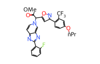 CCCOc1ccc(-c2cc(C(C(=O)OC)n3ccc4nc(-c5ccccc5F)nc-4c3)on2)c(C(F)(F)F)c1